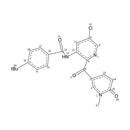 Cn1cc(C(=O)c2ncc(Cl)cc2NC(=O)c2ccc(C(C)(C)C)cc2)ccc1=O